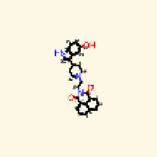 O=C1c2cccc3cccc(c23)C(=O)N1CCN1CCC(c2c[nH]c3ccc(O)cc23)CC1